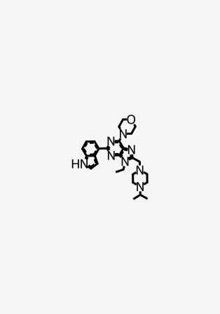 CCn1c(CN2CCN(C(C)C)CC2)nc2c(N3CCOCC3)nc(-c3cccc4[nH]ccc34)nc21